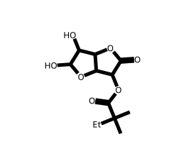 CCC(C)(C)C(=O)OC1C(=O)OC2C(O)C(O)OC12